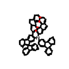 c1ccc2c(c1)-c1ccccc1C21c2ccccc2-c2cc(-c3ccc4c(ccc5ccccc54)c3)c(N(c3ccc4c(ccc5ccccc54)c3)c3ccc4c5ccccc5c5ccccc5c4c3)cc21